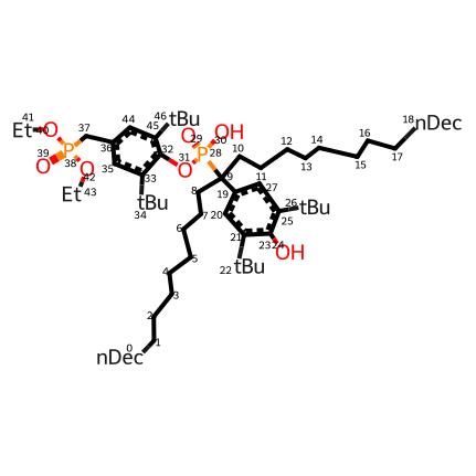 CCCCCCCCCCCCCCCCCCC(CCCCCCCCCCCCCCCCCC)(c1cc(C(C)(C)C)c(O)c(C(C)(C)C)c1)P(=O)(O)Oc1c(C(C)(C)C)cc(CP(=O)(OCC)OCC)cc1C(C)(C)C